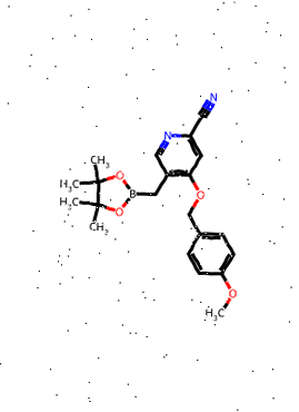 COc1ccc(COc2cc(C#N)ncc2CB2OC(C)(C)C(C)(C)O2)cc1